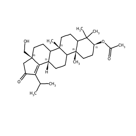 CC(=O)O[C@H]1CC[C@@]2(C)C(CC[C@@]3(C)C4CC[C@@]5(CO)CC(=O)C(C(C)C)=C5[C@H]4CCC32)C1(C)C